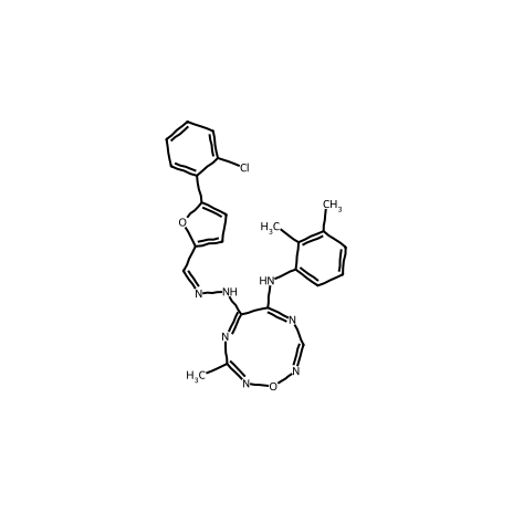 Cc1noncnc(Nc2cccc(C)c2C)c(N/N=C\c2ccc(-c3ccccc3Cl)o2)n1